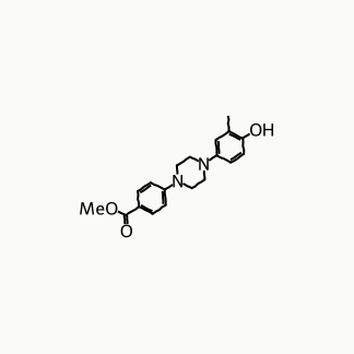 COC(=O)c1ccc(N2CCN(c3ccc(O)c(C)c3)CC2)cc1